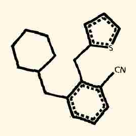 N#Cc1cc[c]c(CC2CCCCC2)c1Cc1cccs1